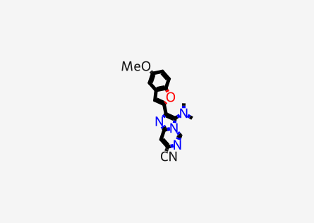 COc1ccc2oc(-c3nc4cc(C#N)ncn4c3N(C)C)cc2c1